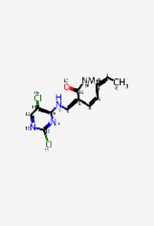 C\C=C/C=C\C(=C\Nc1nc(Cl)ncc1Cl)C(=O)NC